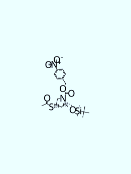 CC(=O)S[C@H]1C[C@@H](CO[Si](C)(C)C(C)(C)C)N(C(=O)OCc2ccc([N+](=O)[O-])cc2)C1